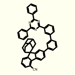 N#Cc1cccc2c1-c1ccc(-c3cccc(-c4cccc(-c5nc(-c6ccccc6)nc(-c6ccccc6)n5)c4)c3)cc1C21C2CC3CC(C2)CC1C3